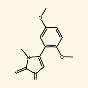 COc1ccc(OC)c(-c2c[nH]c(=S)n2C)c1